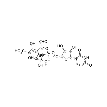 O=C[C@H](OP(=O)(O[14CH2][C@H]1O[C@@H](n2ccc(=O)[nH]c2=O)[C@H](O)[C@@H]1O)OP(=O)(O)O)[C@@H](O)[C@@H](O)[C@H](O)C(=O)O